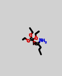 CCC[SiH](N)O[Si](OCC)(OCC)OCC